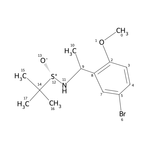 COc1ccc(Br)cc1C(C)N[S@@+]([O-])C(C)(C)C